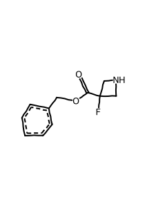 O=C(OCc1ccccc1)C1(F)CNC1